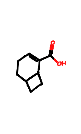 O=C(O)C1=CCCC2CC[C]12